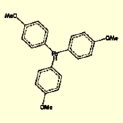 COc1cc[c]([PbH]([c]2ccc(OC)cc2)[c]2ccc(OC)cc2)cc1